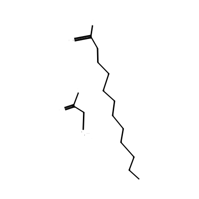 CCCCCCCCCCCC(=O)O.NCC(=O)O